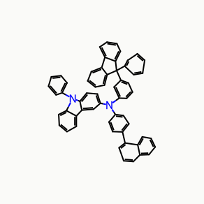 c1ccc(-n2c3ccccc3c3cc(N(c4ccc(-c5cccc6ccccc56)cc4)c4cccc(C5(c6ccccc6)c6ccccc6-c6ccccc65)c4)ccc32)cc1